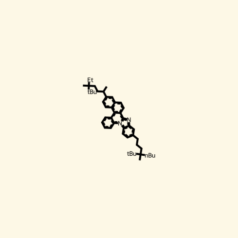 CCCCC(C)(CCCc1ccc2c(c1)nc1c3ccc4cc(C(C)CCC(C)(CC)C(C)(C)C)ccc4c3c3ccccc3n21)C(C)(C)C